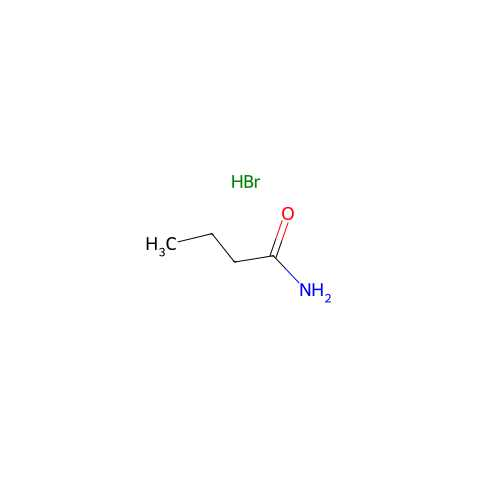 Br.CCCC(N)=O